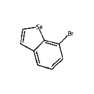 Brc1cccc2cc[se]c12